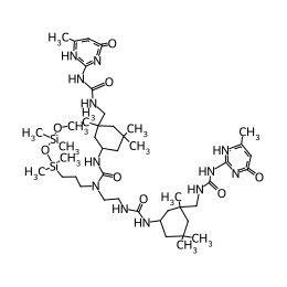 CO[Si](C)(C)O[Si](C)(C)CCCN(CCNC(=O)NC1CC(C)(C)CC(C)(CNC(=O)Nc2nc(=O)cc(C)[nH]2)C1)C(=O)NC1CC(C)(C)CC(C)(CNC(=O)Nc2nc(=O)cc(C)[nH]2)C1